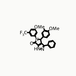 COc1ccc(C2c3c(-c4ccccc4)n[nH]c3C(=O)N2c2cccc(C(F)(F)F)c2)cc1OC